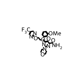 COc1ccccc1Oc1c(OCCOc2ncc(C(F)(F)F)cn2)nc(N2CCOCC2)nc1C(N)=O